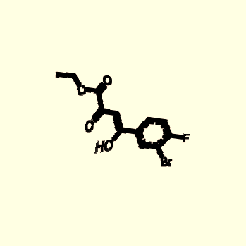 CCOC(=O)C(=O)/C=C(\O)c1ccc(F)c(Br)c1